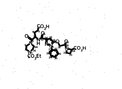 CCOC(=O)N1CCN(C(=O)C(CCC(=O)O)NC(=O)c2cc(OCC(=O)N3CCC3C(=O)O)n(-c3ccccc3)n2)CC1